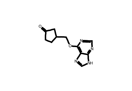 O=C1CCC(COc2ncnc3[nH]cnc23)C1